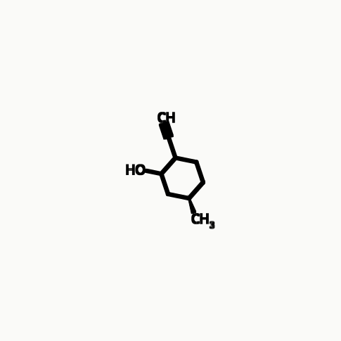 C#CC1CC[C@@H](C)CC1O